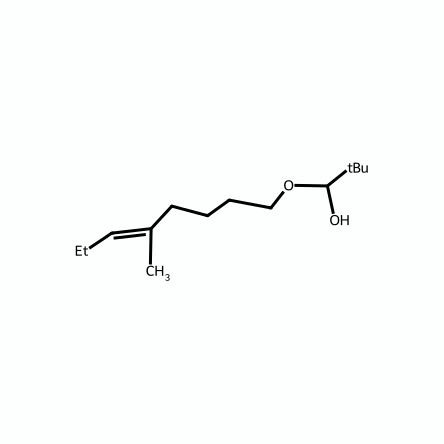 CC/C=C(\C)CCCCOC(O)C(C)(C)C